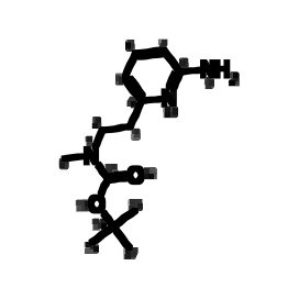 CN(CCc1cccc(N)n1)C(=O)OC(C)(C)C